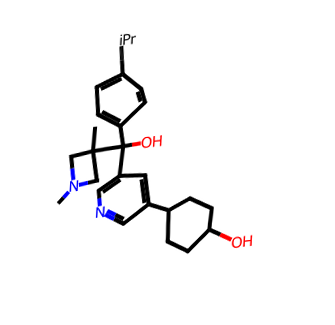 CC(C)c1ccc(C(O)(c2cncc(C3CCC(O)CC3)c2)C2(C)CN(C)C2)cc1